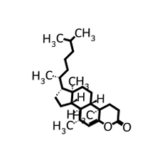 CC(C)CCC[C@@H](C)[C@H]1CC[C@H]2[C@@H]3[C@@H](C)C=C4OC(=O)CC[C@]4(C)[C@H]3CC[C@]12C